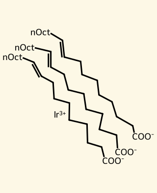 CCCCCCCCC=CCCCCCCCC(=O)[O-].CCCCCCCCC=CCCCCCCCC(=O)[O-].CCCCCCCCC=CCCCCCCCC(=O)[O-].[Ir+3]